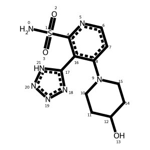 NS(=O)(=O)c1nccc(N2CCC(O)CC2)c1-c1nnn[nH]1